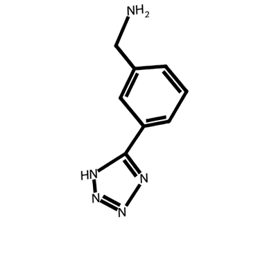 NCc1cccc(-c2nnn[nH]2)c1